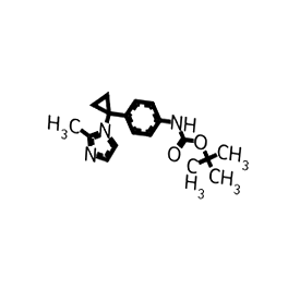 Cc1nccn1C1(c2ccc(NC(=O)OC(C)(C)C)cc2)CC1